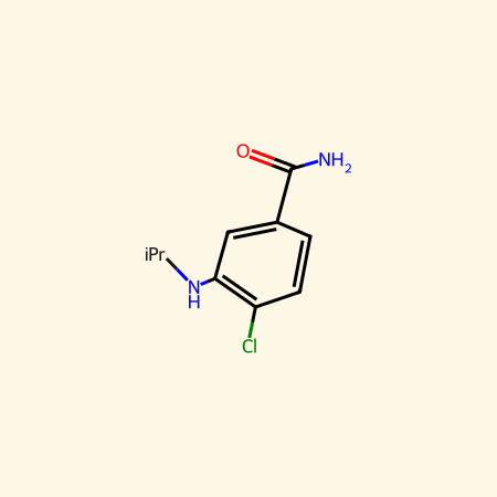 CC(C)Nc1cc(C(N)=O)ccc1Cl